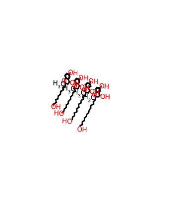 CC1(CCCCCCCCCCCCCCO)CC(O)c2cc(O)ccc2O1.CC1(CCCCCCCCCCCCCO)CC(O)c2cc(O)ccc2O1.CC1(CCCCCCCCCCCO)CC(O)c2cc(O)ccc2O1.CC1(CCCCCCCCCCO)CC(O)c2cc(O)ccc2O1